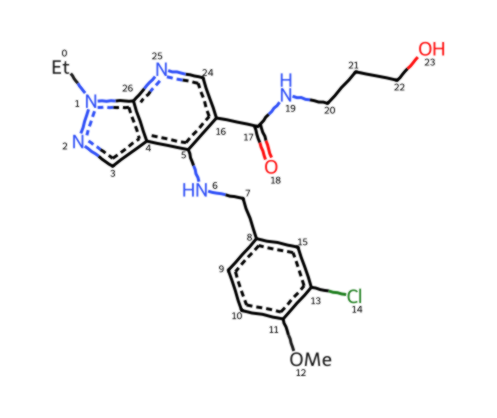 CCn1ncc2c(NCc3ccc(OC)c(Cl)c3)c(C(=O)NCCCO)cnc21